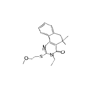 CCn1c(SCCOC)nc2c(c1=O)C(C)(C)Cc1ccccc1-2